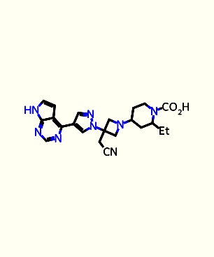 CCC1CC(N2CC(CC#N)(n3cc(-c4ncnc5[nH]ccc45)cn3)C2)CCN1C(=O)O